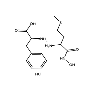 CSCCC(N)C(=O)NO.Cl.N[C@@H](Cc1ccccc1)C(=O)O